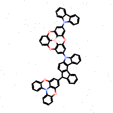 c1ccc2c(c1)Oc1cc(C3c4ccccc4-c4c3ccc3c4c4ccccc4n3-c3cc4c5c(c3)Oc3cc(-n6c7ccccc7c7ccccc76)cc6c3B5c3c(cccc3O4)O6)cc3c1N2c1ccccc1O3